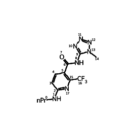 CCCNc1ccc(C(=O)Nc2nnnn2C)c(C(F)(F)F)n1